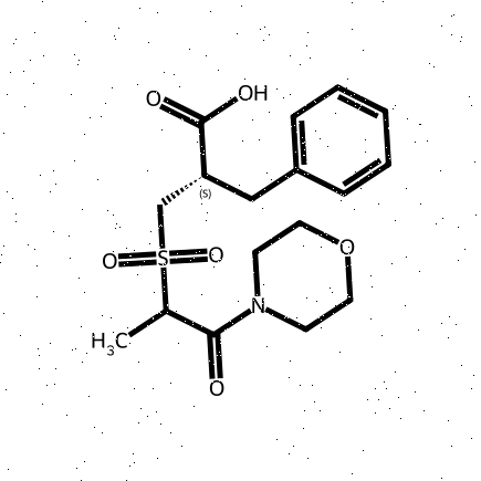 CC(C(=O)N1CCOCC1)S(=O)(=O)C[C@@H](Cc1ccccc1)C(=O)O